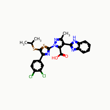 Cc1nn(-c2nc(-c3ccc(Cl)c(Cl)c3)c(SC(C)C)s2)c(C(=O)O)c1-c1nc2ccccc2[nH]1